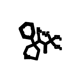 CN(C(=O)C(C)(C)C)C1(c2ccccc2)CCNCC1